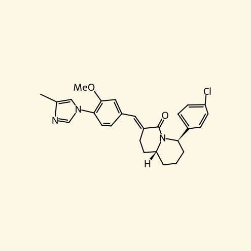 COc1cc(/C=C2\CC[C@H]3CCC[C@H](c4ccc(Cl)cc4)N3C2=O)ccc1-n1cnc(C)c1